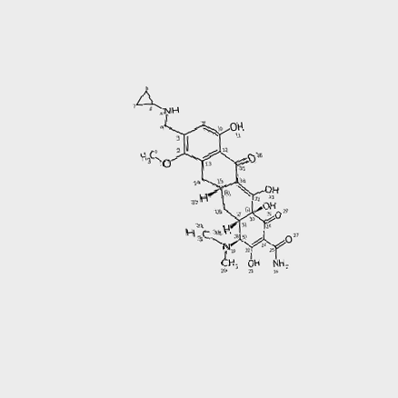 COc1c(CNC2CC2)cc(O)c2c1C[C@H]1C[C@H]3[C@H](N(C)C)C(O)=C(C(N)=O)C(=O)[C@@]3(O)C(O)=C1C2=O